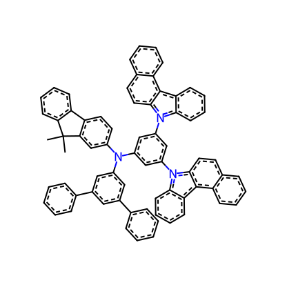 CC1(C)c2ccccc2-c2ccc(N(c3cc(-c4ccccc4)cc(-c4ccccc4)c3)c3cc(-n4c5ccccc5c5c6ccccc6ccc54)cc(-n4c5ccccc5c5c6ccccc6ccc54)c3)cc21